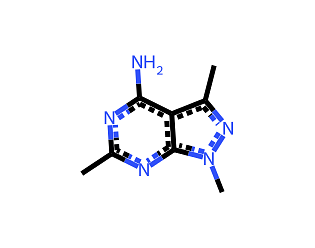 Cc1nc(N)c2c(C)nn(C)c2n1